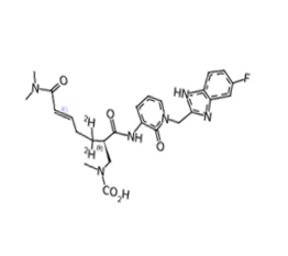 [2H]C([2H])(C/C=C/C(=O)N(C)C)[C@H](CN(C)C(=O)O)C(=O)Nc1cccn(Cc2nc3cc(F)ccc3[nH]2)c1=O